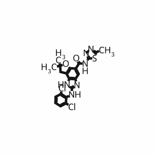 Cc1nnc(NC(=O)c2cc3nc(Nc4c(Cl)cccc4Cl)[nH]c3c3c2OC(C)(C)C3)s1